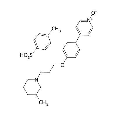 CC1CCCN(CCCOc2ccc(-c3cc[n+]([O-])cc3)cc2)C1.Cc1ccc(S(=O)(=O)O)cc1